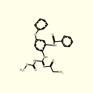 CCC(=O)/N=C(/NC(=O)OC)Nc1ccc(Oc2ccccc2)cc1NC(=O)c1ccccc1